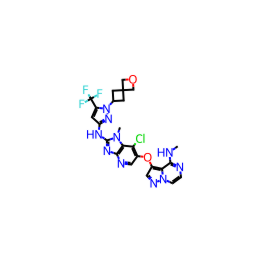 CNc1nccn2ncc(Oc3cnc4nc(Nc5cc(C(F)(F)F)n(C6CC7(COC7)C6)n5)n(C)c4c3Cl)c12